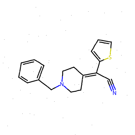 N#CC(=C1CCN(Cc2ccccc2)CC1)c1cccs1